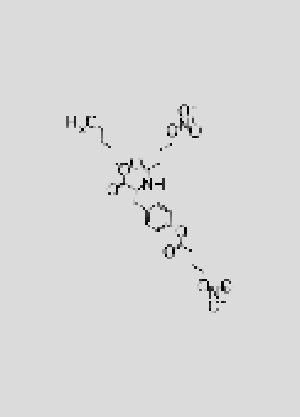 CCCCCOC(=O)C(Cc1ccc(OC(=O)CCCO[N+](=O)[O-])cc1)NC(=O)CCCO[N+](=O)[O-]